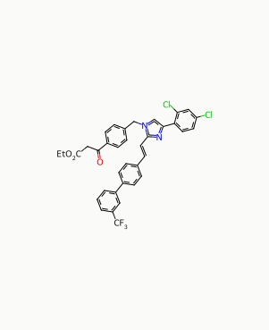 CCOC(=O)CC(=O)c1ccc(Cn2cc(-c3ccc(Cl)cc3Cl)nc2C=Cc2ccc(-c3cccc(C(F)(F)F)c3)cc2)cc1